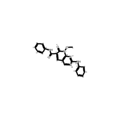 COn1c(=O)c(C(=O)Nc2ccccc2)cc2cnc(Nc3ccccc3)nc21